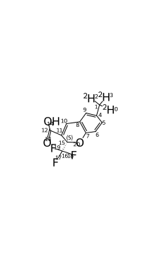 [2H]C([2H])([2H])c1ccc2c(c1)C=C(C(=O)O)[C@@H](C(F)(F)F)O2